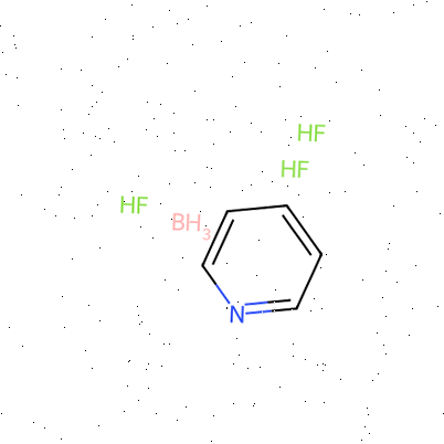 B.F.F.F.c1ccncc1